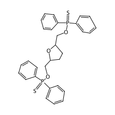 S=P(OCC1CCC(COP(=S)(c2ccccc2)c2ccccc2)O1)(c1ccccc1)c1ccccc1